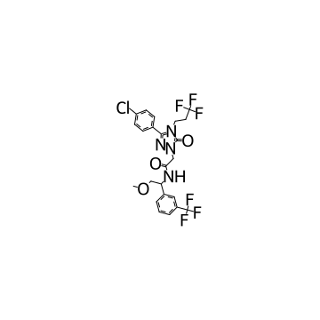 COCC(NC(=O)Cn1nc(-c2ccc(Cl)cc2)n(CCC(F)(F)F)c1=O)c1cccc(C(F)(F)F)c1